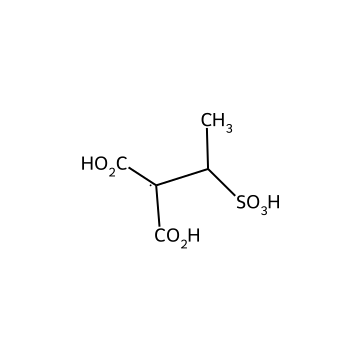 CC([C](C(=O)O)C(=O)O)S(=O)(=O)O